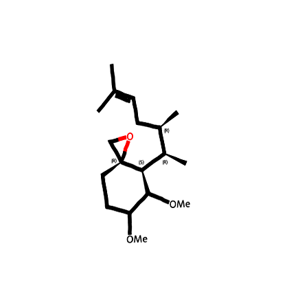 COC1CC[C@]2(CO2)[C@@H]([C@H](C)[C@H](C)CC=C(C)C)C1OC